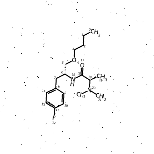 CCCCOC[C@@H](Cc1ccc(F)cc1)NC(=O)[C@@H](C)N(C)Cl